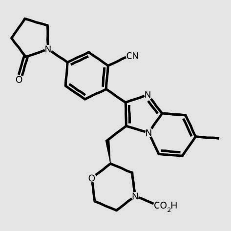 Cc1ccn2c(C[C@H]3CN(C(=O)O)CCO3)c(-c3ccc(N4CCCC4=O)cc3C#N)nc2c1